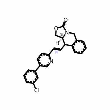 O=C1OC[C@@H]2C(/C=C/c3ccc(-c4cccc(Cl)c4)cn3)c3ccccc3CN12